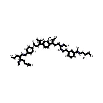 C#CCC/C(=C\C)C(/C=C/C1=CC[C@@H](C(C)Cc2c(C)oc3c2ccc2c(CCC(/C=C\CC4=CCCC(/C(C)=C/C[C@@H](I)CC)=C4)=C/C)c(C)oc23)CC1)CCC